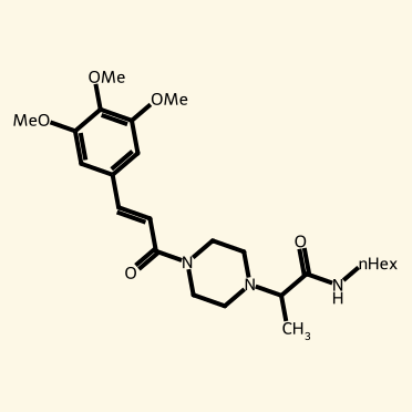 CCCCCCNC(=O)C(C)N1CCN(C(=O)C=Cc2cc(OC)c(OC)c(OC)c2)CC1